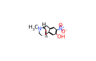 CN1CC[C@@]23CCCCC2[C@@H]1Cc1cc([N+](=O)[O-])c(O)cc13